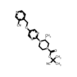 C[C@@H]1CN(C(=O)OC(C)(C)C#N)CCN1c1ncc(OCc2ccncc2C#N)cn1